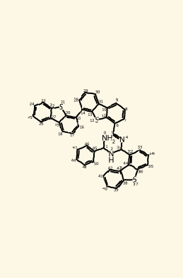 NC(NC(/N=C/c1cccc2c1sc1c(-c3cccc4c3sc3ccccc34)cccc12)c1cccc2sc3ccccc3c12)c1ccccc1